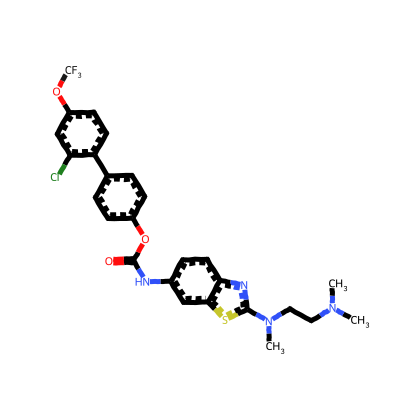 CN(C)CCN(C)c1nc2ccc(NC(=O)Oc3ccc(-c4ccc(OC(F)(F)F)cc4Cl)cc3)cc2s1